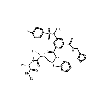 CCNC(=O)[C@@H](NC(=O)[C@H](C)NC[C@H](Cc1ccccc1)NC(=O)c1cc(C(=O)NCc2nccs2)cc(N(C)S(=O)(=O)c2ccc(F)cc2)c1)C(C)C